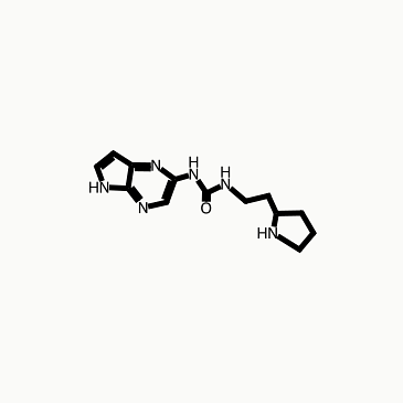 O=C(NCCC1CCCN1)Nc1cnc2[nH]ccc2n1